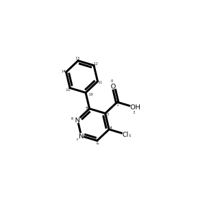 O=C(O)c1c(Cl)cnnc1-c1ccccc1